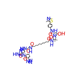 CNC(=O)c1nnc(NC(=O)CNC(=O)CCCCCCCCCC(=O)N[C@H](C(=O)N2C[C@H](O)C[C@H]2C(=O)NCc2ccc(-c3scnc3C)cc2)C(C)(C)C)cc1Nc1cccc(-c2ncn(C)n2)c1OC